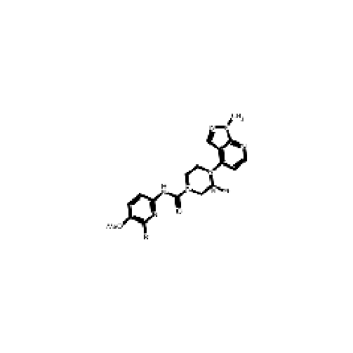 CC[C@H]1CN(C(=O)Nc2ccc(OC)c(Br)n2)CCN1c1ccnc2c1cnn2C